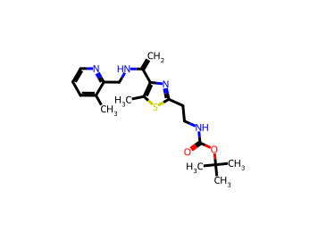 C=C(NCc1ncccc1C)c1nc(CCNC(=O)OC(C)(C)C)sc1C